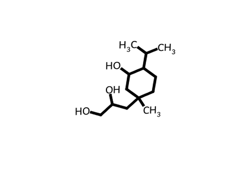 CC(C)C1CCC(C)(CC(O)CO)CC1O